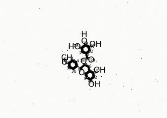 COc1ccc([C@H]2Oc3cc(O)cc(O)c3C[C@H]2OC(=O)c2cc(O)c(O)c(O)c2)cc1